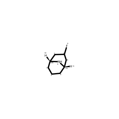 FC1C[C@H]2CCC[C@@H](C1)N2